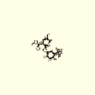 COC(=O)c1cc(C)cnc1Oc1cccc(C(F)(F)F)c1